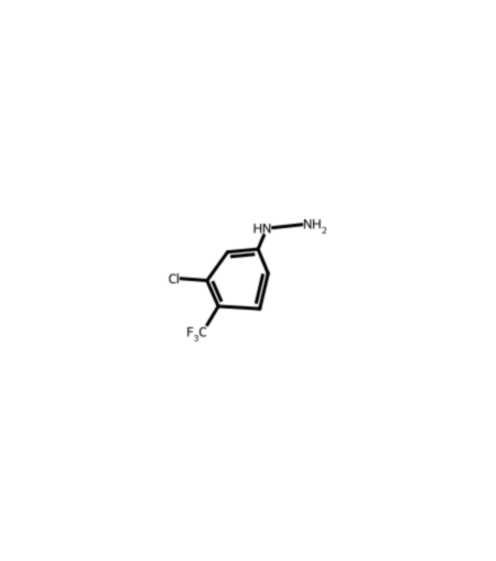 NNc1ccc(C(F)(F)F)c(Cl)c1